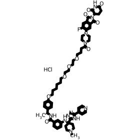 C[C@@H](NC(=O)c1cccc(NC2(c3nnc(-c4ccncc4)[nH]3)CCN(C)CC2)c1)c1ccc(OCCCCCCOCCOCCOCCCC(=O)N2CCN(c3cc4c(cc3F)C(=O)N(C3CCC(=O)NC3=O)C4=O)CC2)cc1.Cl